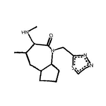 CNC1C(=O)N(Cc2nncs2)C2CCCC2CC1C